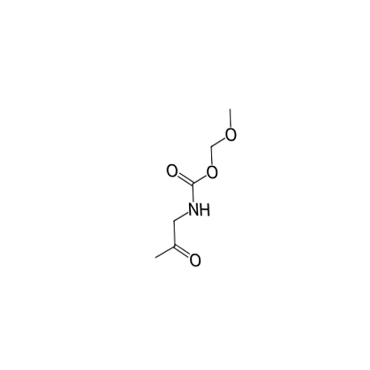 COCOC(=O)NCC(C)=O